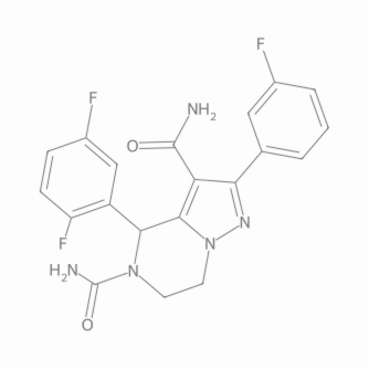 NC(=O)c1c(-c2cccc(F)c2)nn2c1C(c1cc(F)ccc1F)N(C(N)=O)CC2